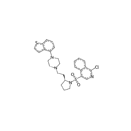 O=S(=O)(c1cnc(Cl)c2ccccc12)N1CCC[C@H]1CCN1CCN(c2cccc3sccc23)CC1